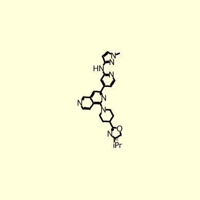 CC(C)[C@@H]1COC(C2CCN(c3nc(-c4ccnc(Nc5ccn(C)n5)c4)cc4cnccc34)CC2)=N1